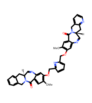 COc1cc2c(cc1OCc1cccc(COc3cc4c(cc3OC)C(=O)N3Cc5cccnc5C[C@@H]3C=N4)n1)N=C[C@@H]1Cc3ccccc3CN1C2=O